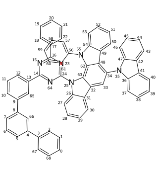 c1ccc(-c2cccc(-c3cccc(-c4nc(-c5ccccc5)nc(-n5c6ccccc6c6cc(-n7c8ccccc8c8ccccc87)c7c8ccccc8n(-c8ccccc8)c7c65)n4)c3)c2)cc1